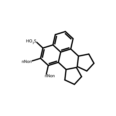 CCCCCCCCCc1c(CCCCCCCCC)c(C2CCCC2)c2c(C3CCCC3)cccc2c1S(=O)(=O)O